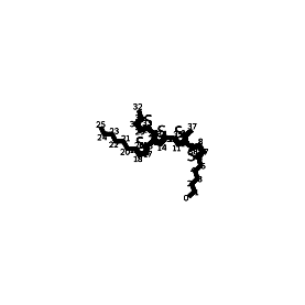 CCCCCCc1ccc(-c2cc(-c3cc(-c4ccc(CCCCCC)s4)c(-c4ccc(C)s4)s3)sc2C)s1